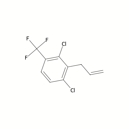 C=CCc1c(Cl)ccc(C(F)(F)F)c1Cl